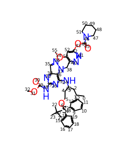 CCC[C@@H](CCO[Si](c1ccccc1)(c1ccccc1)C(C)(C)C)Nc1nc(NC(=O)OC)nc2cnn(Cc3nnc(OC(=O)N4CCCCC4)cc3OC)c12